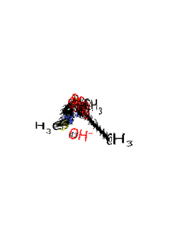 CCCCCCCCCCCCCCOc1cccc(OP(=O)(O)Oc2cccc(C[n+]3csc(C)c3)c2)c1C(=O)OC.[OH-]